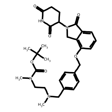 CN(CCN(C)C(=O)OC(C)(C)C)Cc1ccc(COc2cccc3c2CN(C2CCC(=O)NC2=O)C3=O)cc1